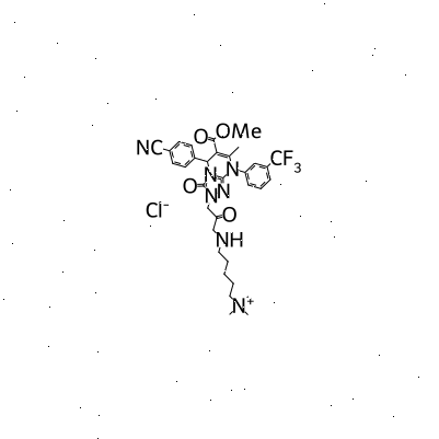 COC(=O)C1=C(C)N(c2cccc(C(F)(F)F)c2)c2nn(CC(=O)CNCCCCC[N+](C)(C)C)c(=O)n2C1c1ccc(C#N)cc1.[Cl-]